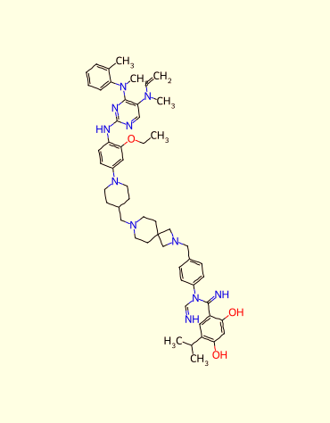 C=CN(C)c1cnc(Nc2ccc(N3CCC(CN4CCC5(CC4)CN(Cc4ccc(N(C=N)C(=N)c6cc(C(C)C)c(O)cc6O)cc4)C5)CC3)cc2OCC)nc1N(C)c1ccccc1C